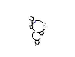 C[C@@H]1[C@@H](C)C/C=C/[C@](O)(c2cccnn2)[C@@H]2CC[C@H]2CN2CCCCc3cc(Cl)ccc3COc3ccc(cc32)C(=O)NS1(=O)=O